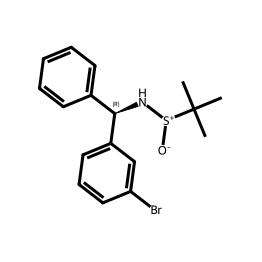 CC(C)(C)[S+]([O-])N[C@H](c1ccccc1)c1cccc(Br)c1